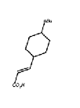 CCCCC1CCC(C=CC(=O)O)CC1